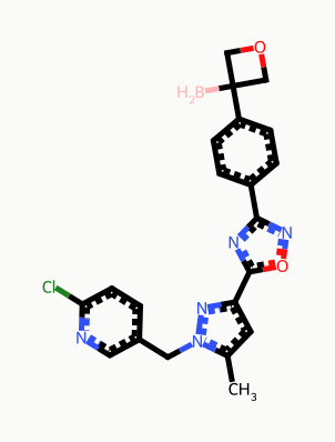 BC1(c2ccc(-c3noc(-c4cc(C)n(Cc5ccc(Cl)nc5)n4)n3)cc2)COC1